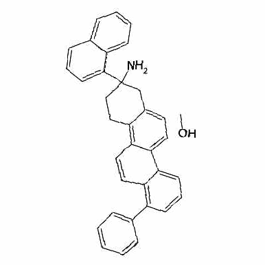 CO.NC1(c2cccc3ccccc23)CCc2c(ccc3c2ccc2c(-c4ccccc4)cccc23)C1